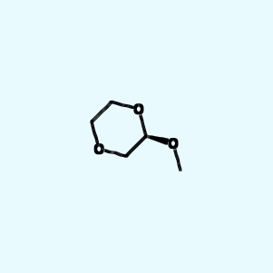 CO[C@H]1COCCO1